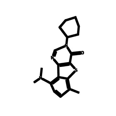 Cc1ccc(N(C)C)c2c1sc1c(=O)n(C3CCCCC3)cnc12